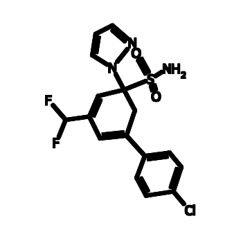 NS(=O)(=O)C1(n2cccn2)C=C(C(F)F)C=C(c2ccc(Cl)cc2)C1